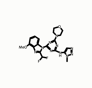 COc1cccc2c1nc(C(F)F)n2-c1nc(Nc2cnnn2C)nc(N2CCOCC2)n1